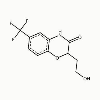 O=C1Nc2cc(C(F)(F)F)ccc2OC1CCO